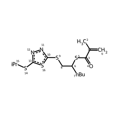 C=C(C)C(=O)SC(CCCC)CSc1nnc(SC(C)C)s1